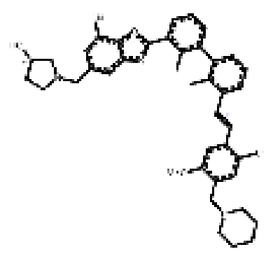 COc1cc(/C=C/c2cccc(-c3cccc(-c4nc5cc(CN6CC[C@@H](O)C6)cc(C#N)c5o4)c3C)c2C)c(C(F)(F)F)cc1CN1CCCCC1